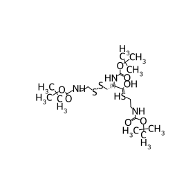 CC(C)(C)OC(=O)NCCSSC[C@H](NC(=O)OC(C)(C)C)C(O)=[SH]CCNC(=O)OC(C)(C)C